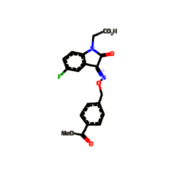 COC(=O)c1ccc(CO/N=C2/C(=O)N(CC(=O)O)c3ccc(F)cc32)cc1